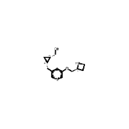 OC[C@H]1C[C@H]1Cc1cncc(OC[C@@H]2CCN2)c1